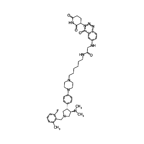 Cc1cccc(F)c1CN1C[C@H](c2ccc(N3CCN(CCCCCCNC(=O)CNc4ccc5nnn(C6CCC(=O)NC6=O)c(=O)c5c4)CC3)cc2)[C@@H](N(C)C)C1